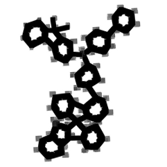 CC1(C)c2ccccc2-c2ccc(N(c3ccc(-c4ccccc4)cc3)c3ccc(-c4cccc5c4-c4ccccc4C54c5ccccc5-c5c4oc4ccccc54)cc3)cc21